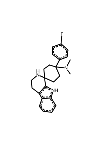 CN(C)C1(c2ccc(F)cc2)CCC2(CC1)NCCc1c2[nH]c2ccccc12